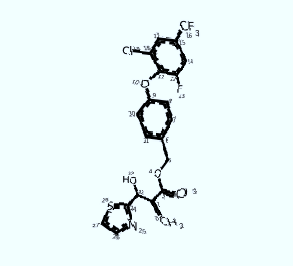 C=C(C(=O)OCc1ccc(Oc2c(F)cc(C(F)(F)F)cc2Cl)cc1)C(O)c1nccs1